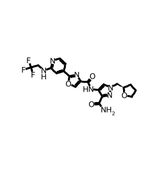 NC(=O)c1nn(C[C@H]2CCCO2)cc1NC(=O)c1coc(-c2ccnc(NCC(F)(F)F)c2)n1